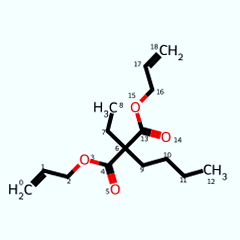 C=CCOC(=O)C(CC)(CCCC)C(=O)OCC=C